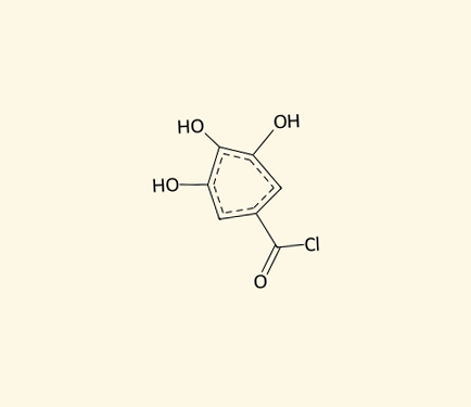 O=C(Cl)c1cc(O)c(O)c(O)c1